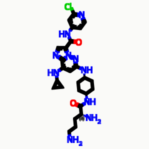 NCCC[C@@H](N)C(=O)N[C@H]1CC[C@H](Nc2cc(NC3CC3)c3ncc(C(=O)Nc4ccnc(Cl)c4)n3n2)CC1